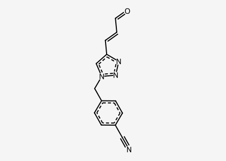 N#Cc1ccc(Cn2cc(C=CC=O)nn2)cc1